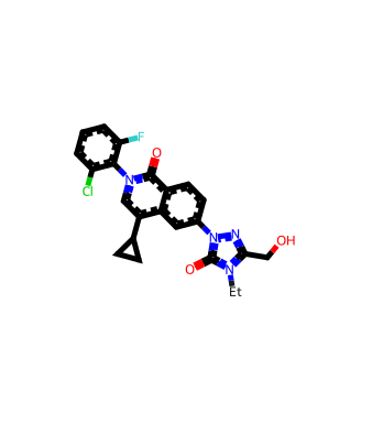 CCn1c(CO)nn(-c2ccc3c(=O)n(-c4c(F)cccc4Cl)cc(C4CC4)c3c2)c1=O